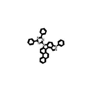 c1ccc(-c2nc(-c3ccccc3)nc(-n3c4ccc5c6ccccc6ccc5c4c4c5cnn(-c6ccccc6)c5ccc43)n2)cc1